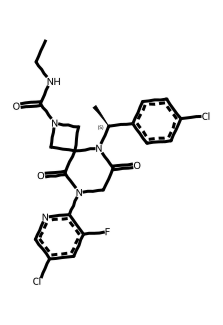 CCNC(=O)N1CC2(C1)C(=O)N(c1ncc(Cl)cc1F)CC(=O)N2[C@@H](C)c1ccc(Cl)cc1